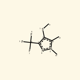 CSc1c(C(F)(F)F)nn(C)c1C